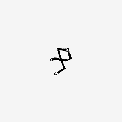 ClCC1(Cl)COC1